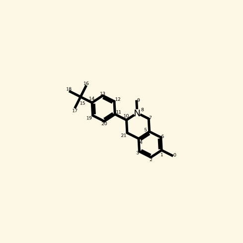 Cc1ccc2c(c1)CN(C)C(c1ccc(C(C)(C)C)cc1)C2